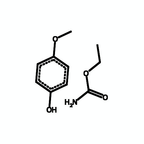 CCOC(N)=O.COc1ccc(O)cc1